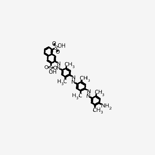 Cc1cc(N=Nc2cc(C)c(N=Nc3cc(C)c(N=Nc4cc5c(S(=O)(=O)O)cccc5cc4S(=O)(=O)O)cc3C)cc2C)c(C)cc1N